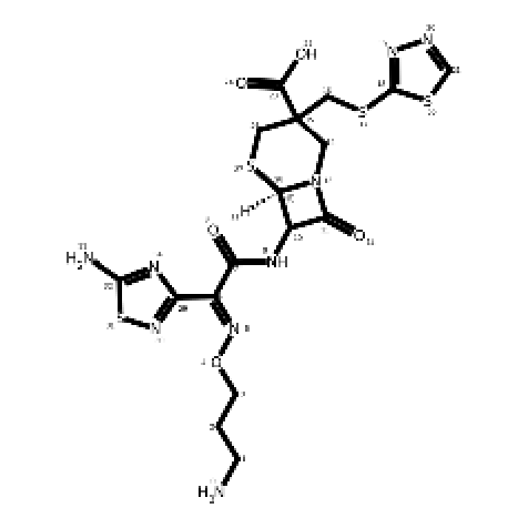 NCCCON=C(C(=O)NC1C(=O)N2CC(CSc3nncs3)(C(=O)O)CS[C@H]12)c1nsc(N)n1